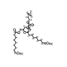 CCCCCCCCCCCCCCCCCC(=O)OCC(CO[PH](=O)OCC[N+](C)(C)C)OC(=O)CCCCCCCCCCCCCCCCC